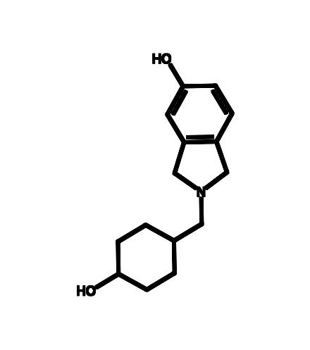 Oc1ccc2c(c1)CN(CC1CCC(O)CC1)C2